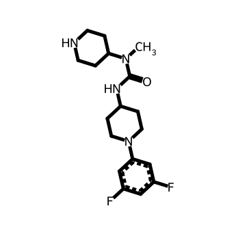 CN(C(=O)NC1CCN(c2cc(F)cc(F)c2)CC1)C1CCNCC1